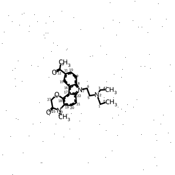 CCN(CC)CCn1c2ccc(C(C)=O)cc2c2c3c(ccc21)N(C)C(=O)CO3